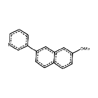 COc1ccc2ccc(-c3cccnc3)cc2c1